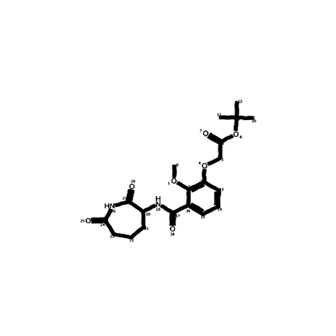 COc1c(OCC(=O)OC(C)(C)C)cccc1C(=O)NC1CCCC(=O)NC1=O